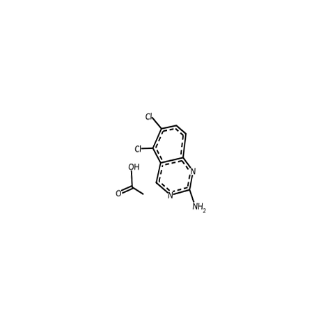 CC(=O)O.Nc1ncc2c(Cl)c(Cl)ccc2n1